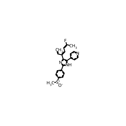 C=C/C(=C\C=C(/C)F)c1nc(-c2ccc([S+](C)[O-])cc2)[nH]c1-c1ccncc1